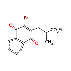 CCOC(=O)C(C)CC1=C(Br)C(=O)c2ccccc2C1=O